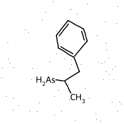 CC([AsH2])Cc1ccccc1